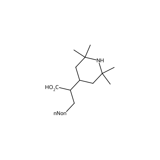 CCCCCCCCCCC(C(=O)O)C1CC(C)(C)NC(C)(C)C1